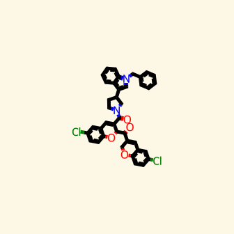 O=C(C1=Cc2cc(Cl)ccc2OC1)C1Oc2ccc(Cl)cc2C=C1C(=O)N1CCC(c2cn(Cc3ccccc3)c3ccccc23)C1